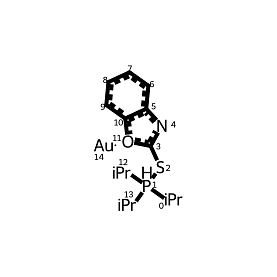 CC(C)[PH](Sc1nc2ccccc2o1)(C(C)C)C(C)C.[Au]